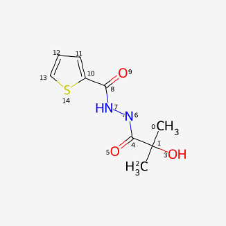 CC(C)(O)C(=O)[N]NC(=O)c1cccs1